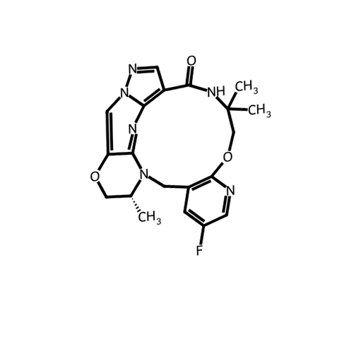 C[C@@H]1COc2cn3ncc4c3nc2N1Cc1cc(F)cnc1OCC(C)(C)NC4=O